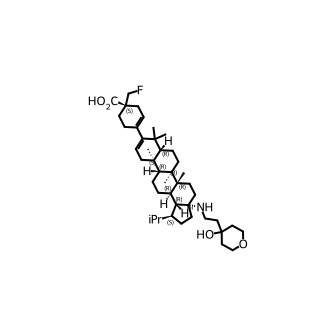 CC(C)[C@@H]1CC[C@]2(NCCC3(O)CCOCC3)CC[C@]3(C)[C@H](CC[C@@H]4[C@@]5(C)CC=C(C6=CC[C@](CF)(C(=O)O)CC6)C(C)(C)[C@@H]5CC[C@]43C)[C@@H]12